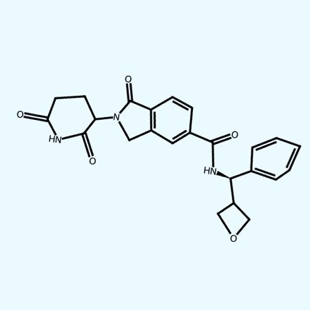 O=C1CCC(N2Cc3cc(C(=O)N[C@@H](c4ccccc4)C4COC4)ccc3C2=O)C(=O)N1